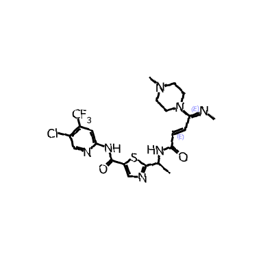 C/N=C(\C=C\C(=O)NC(C)c1ncc(C(=O)Nc2cc(C(F)(F)F)c(Cl)cn2)s1)N1CCN(C)CC1